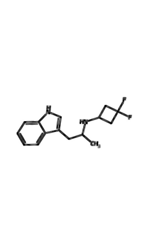 CC(Cc1c[nH]c2ccccc12)NC1CC(F)(F)C1